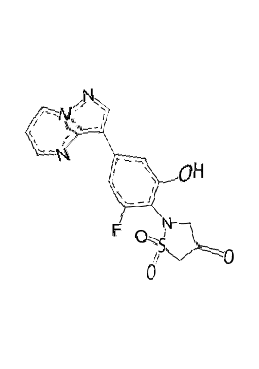 O=C1CN(c2c(O)cc(-c3cnn4cccnc34)cc2F)S(=O)(=O)C1